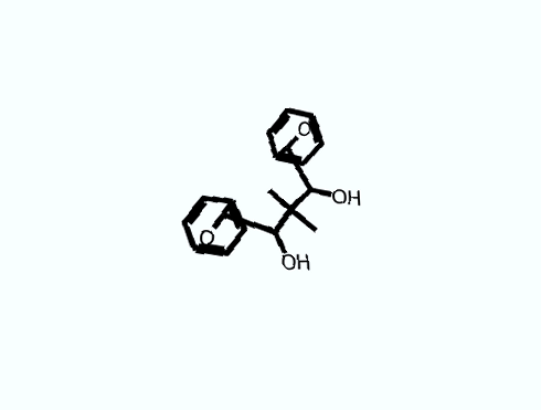 CC(C)(C(O)C1Oc2ccc1cc2)C(O)C1Oc2ccc1cc2